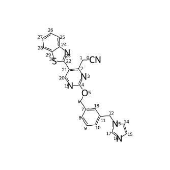 N#CCc1nc(OCc2cccc(Cn3ccnc3)c2)ncc1-c1nc2ccccc2s1